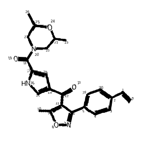 C=Cc1ccc(-c2noc(C)c2C(=O)c2c[nH]c(C(=O)N3CC(C)OC(C)C3)c2)cc1